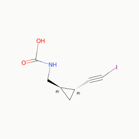 O=C(O)NC[C@@H]1C[C@H]1C#CI